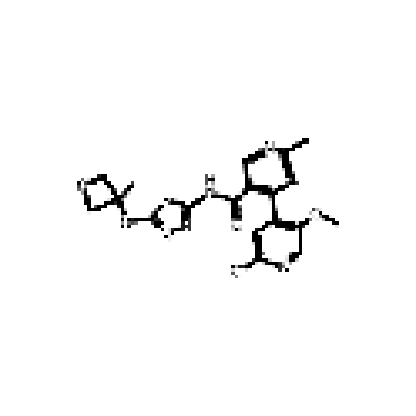 COc1cnc(Cl)cc1-c1cc(C)ncc1C(=O)Nc1nnc(OC2(C)COC2)s1